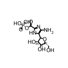 Nc1nc(C(=O)OP(=O)(O)O)[nH]c1C1O[C@H](CO)[C@@H](O)[C@H]1O